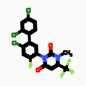 Cn1c(C(F)(F)F)cc(=O)n(-c2cc(-c3ccc(Cl)cc3Cl)c(Cl)cc2F)c1=O